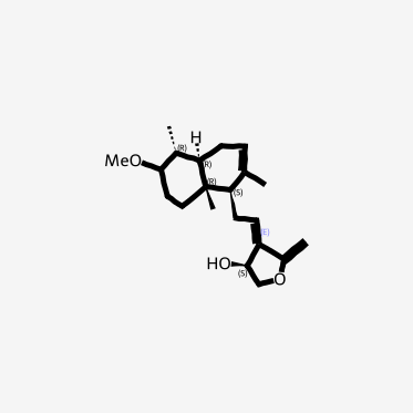 C=C1OC[C@@H](O)/C1=C\C[C@@H]1C(C)=CC[C@@H]2[C@@H](C)C(OC)CC[C@@]12C